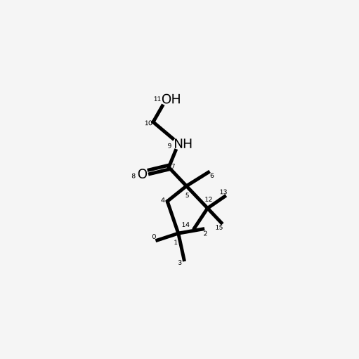 CC(C)(C)CC(C)(C(=O)NCO)C(C)(C)C